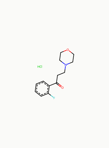 Cl.O=C(CCN1CCOCC1)c1ccccc1F